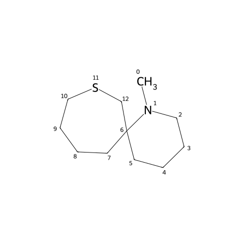 CN1CCCCC12CCCCSC2